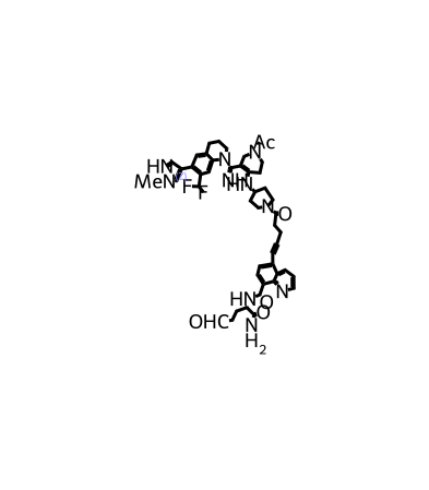 CN/C=C(\C=N)c1cc2c(cc1C(F)F)N(C(=N)C1=C(NC3CCN(C(=O)CCC#Cc4ccc(C(=O)NC(CCC=O)C(N)=O)c5ncccc45)CC3)CCN(C(C)=O)C1)CCC2